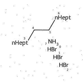 Br.Br.Br.CCCCCCCCCCCCCCCC.N